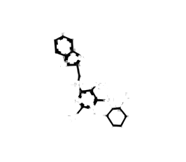 Cc1nc(NCc2nc3ccccc3s2)c([N+](=O)[O-])c(N[C@H]2CCCC[C@@H]2O)n1